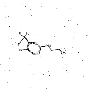 OCCNc1ccc(Br)c(C(F)(F)F)c1